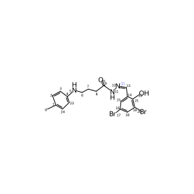 Cc1ccc(NCCCC(=O)N/N=C\c2cc(Br)cc(Br)c2O)cc1